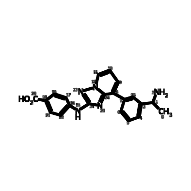 CC(N)c1cccc(-c2cccn3nc(Nc4ccc(C(=O)O)cc4)nc23)c1